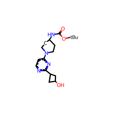 CC(C)(C)OC(=O)NC1CCN(c2ccnc(C3CC(O)C3)n2)CC1